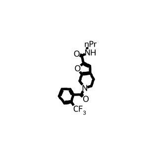 CCCNC(=O)c1cc2c(o1)CN(C(=O)c1ccccc1C(F)(F)F)CC2